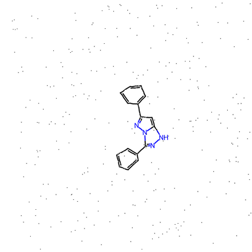 c1ccc(-c2cc3[nH]nc(-c4ccccc4)n3n2)cc1